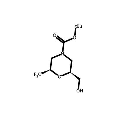 CC(C)(C)OC(=O)N1C[C@@H](CO)O[C@@H](C(F)(F)F)C1